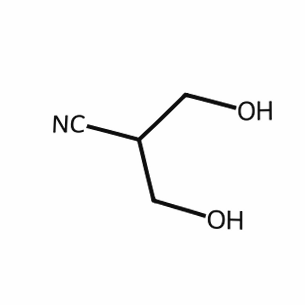 N#CC(CO)CO